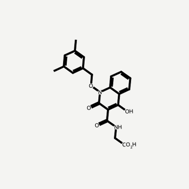 Cc1cc(C)cc(COn2c(=O)c(C(=O)NCC(=O)O)c(O)c3ccccc32)c1